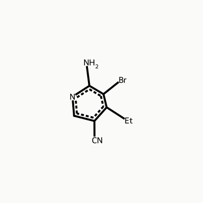 CCc1c(C#N)cnc(N)c1Br